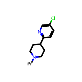 CC(C)N1CCC(c2ccc(Cl)cn2)CC1